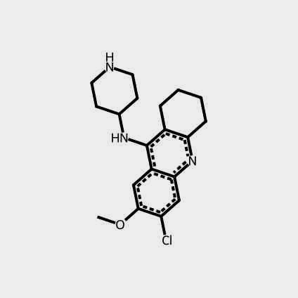 COc1cc2c(NC3CCNCC3)c3c(nc2cc1Cl)CCCC3